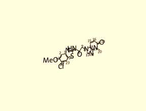 COc1cc2nc(NC(=O)Cn3cnc4c3ccc(=O)n4C)sc2cc1Cl